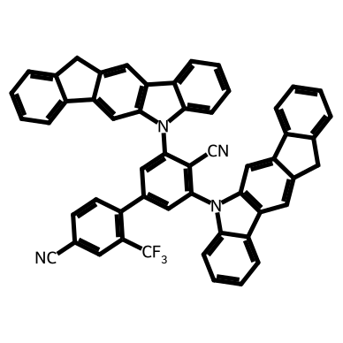 N#Cc1ccc(-c2cc(-n3c4ccccc4c4cc5c(cc43)-c3ccccc3C5)c(C#N)c(-n3c4ccccc4c4cc5c(cc43)-c3ccccc3C5)c2)c(C(F)(F)F)c1